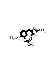 COc1ccc(C=C2N=C(C)OC2=O)cc1OC(C)=O